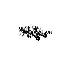 CC[C@H](C)[C@@H](C(=O)N[C@@H](Cc1ccccc1)[C@@H](O)CN(CCC(C)C)NC(=O)CC(C)(C)CNC(=O)O)N1CCN(Cc2cccc(CO)n2)C1=O